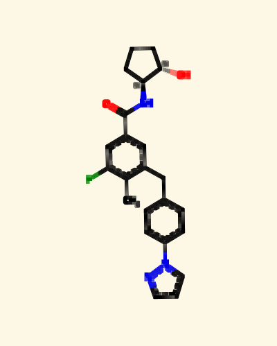 Cc1c(F)cc(C(=O)N[C@H]2CCC[C@@H]2O)cc1Cc1ccc(-n2cccn2)cc1